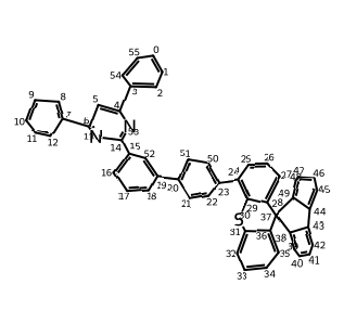 c1ccc(-c2cc(-c3ccccc3)nc(-c3cccc(-c4ccc(-c5cccc6c5Sc5ccccc5C65c6ccccc6-c6ccccc65)cc4)c3)n2)cc1